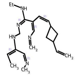 C=CC1CC(\C=C/C(=C/N=C)C(=N\CNC(/C=N\C)=C/C)/NCC)C1